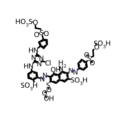 Nc1c(/N=N/c2ccc(S(=O)(=O)CCOS(=O)(=O)O)cc2)c(S(=O)(=O)O)cc2cc(SOOO)c(/N=N/c3cc(Nc4nc(Cl)nc(Nc5cccc(S(=O)(=O)CCOS(=O)(=O)O)c5)n4)ccc3S(=O)(=O)O)c(O)c12